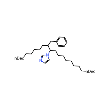 CCCCCCCCCCCCCCCCCCC(C(CCCCCCCCCCCCCCC)Cc1ccccc1)n1ccnc1